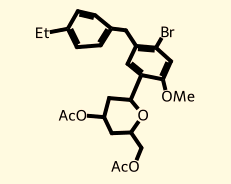 CCc1ccc(Cc2cc(C3CC(OC(C)=O)CC(COC(C)=O)O3)c(OC)cc2Br)cc1